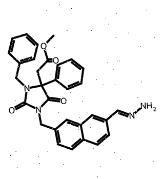 COC(=O)CC1(c2ccccc2)C(=O)N(Cc2ccc3ccc(C=NN)cc3c2)C(=O)N1Cc1ccccc1